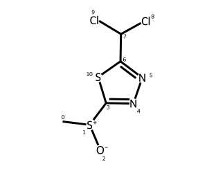 C[S+]([O-])c1nnc(C(Cl)Cl)s1